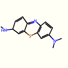 CNC1C=CC2=Nc3ccc(N(C)C)cc3SC2=C1